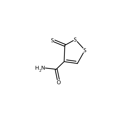 NC(=O)c1cssc1=S